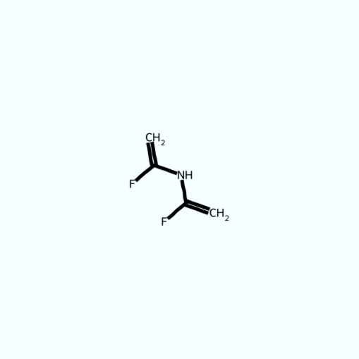 C=C(F)NC(=C)F